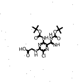 CC(C)(C)OC(=O)NC(=N)c1nc(Cl)c(NCC(=O)O)nc1NC(=O)OC(C)(C)C